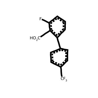 O=C(O)c1c(F)cccc1-c1ccc(C(F)(F)F)cc1